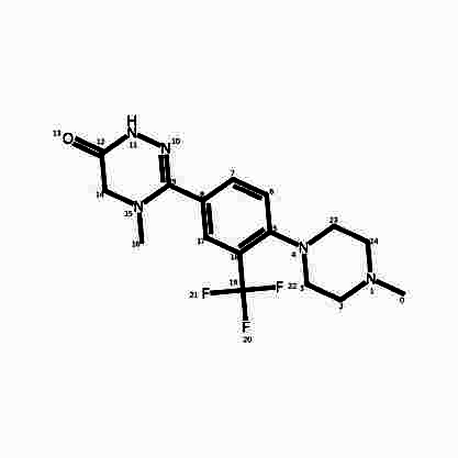 CN1CCN(c2ccc(C3=NNC(=O)CN3C)cc2C(F)(F)F)CC1